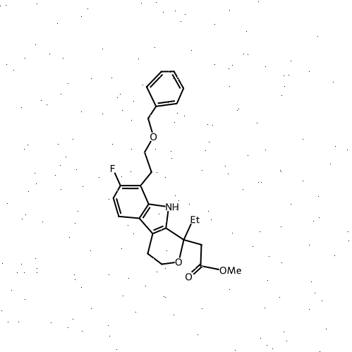 CCC1(CC(=O)OC)OCCc2c1[nH]c1c(CCOCc3ccccc3)c(F)ccc21